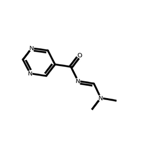 CN(C)C=NC(=O)c1cncnc1